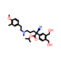 COc1ccc(CCN(C)CCCC(C#N)(C(=O)OC(C)C)c2ccc(CO)c(CO)c2)cc1C